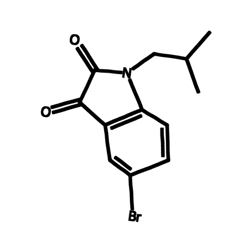 CC(C)CN1C(=O)C(=O)c2cc(Br)ccc21